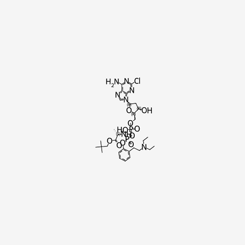 CCN(CC)CCc1ccccc1OP(=O)(N[C@@H](C)C(=O)OCC(C)(C)C)OP(=O)(O)OC[C@H]1O[C@@H](n2cnc3c(N)nc(Cl)nc32)C[C@H]1O